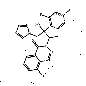 CC(n1nnc2c(Br)cccc2c1=O)C(O)(Cn1cncn1)c1ccc(F)cc1F